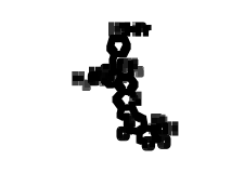 CC[C@@]1(O)C(=O)OCc2c1cc1n(c2=O)Cc2cc3c(CN(C)C)c([N+](C)(C)Cc4ccc(NC(C)C)cc4)c(F)cc3nc2-1